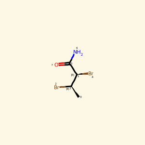 C[C@@H](Br)[C@H](Br)C(N)=O